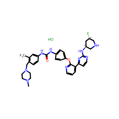 CN1CCN(Cc2ccc(NC(=O)Nc3ccc(Oc4ncccc4-c4ccnc(N[C@@H]5CNC[C@@H](F)C5)n4)cc3)cc2C(F)(F)F)CC1.Cl